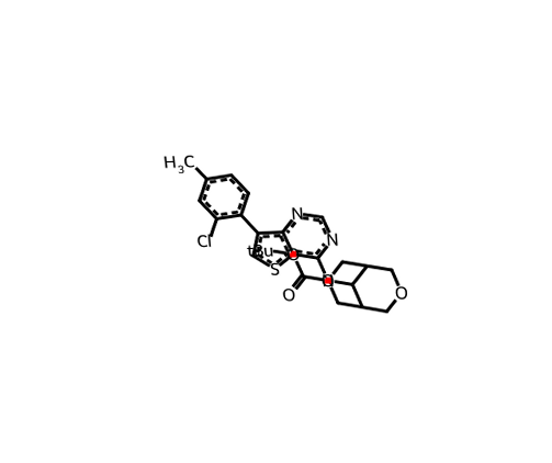 Cc1ccc(-c2csc3c(OC4C5COCC4CN(C(=O)OC(C)(C)C)C5)ncnc23)c(Cl)c1